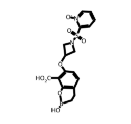 O=C(O)c1c(OC2CN(S(=O)(=O)c3cccc[n+]3[O-])C2)ccc2c1OB(O)CC2